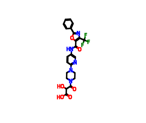 O=C(Nc1ccc(N2CCN(C(=O)C(O)C(=O)O)CC2)nc1)c1oc(-c2ccccc2)nc1C(F)(F)F